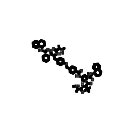 CNC(C)C(=O)NC(Cc1ccc(OCc2ccc(C(=O)N[C@H]3C[C@@H](C(=O)N[C@@H]4CCCc5ccccc54)N(C(=O)C(NC(=O)C(C)NC)C(C)(C)C)C3)cc2)cc1)C(=O)[C@@H]1CC=CC[C@H]1C(=O)N[C@@H]1CCCc2ccccc21